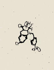 O=C(O)C1Cc2cc(Cl)ccc2N(Cc2ccc([N+](=O)[O-])cc2)C1C(F)(F)F